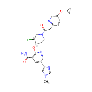 Cn1cnc(-c2cnc(O[C@H]3CCN(C(=O)Cc4ccc(OC5CC5)cn4)C[C@@H]3F)c(C(N)=O)c2)c1